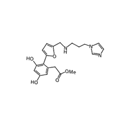 COC(=O)Cc1cc(O)cc(O)c1-c1ccc(CNCCCn2ccnc2)o1